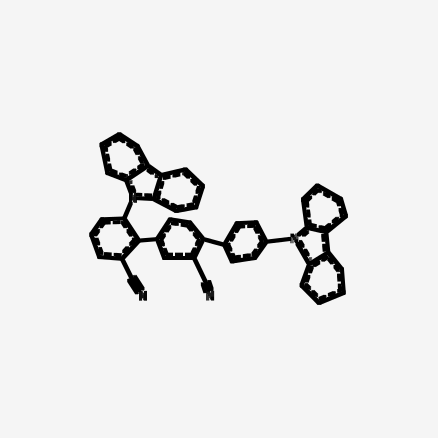 N#Cc1cc(-c2c(C#N)cccc2-n2c3ccccc3c3ccccc32)ccc1-c1ccc(-n2c3ccccc3c3ccccc32)cc1